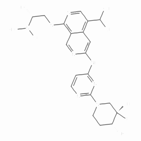 CC(C)c1cnc(NC[C@@H](C)N(C)C)c2cnc(Nc3ccnc(N4CC[C@@H](O)[C@@](C)(F)C4)n3)cc12